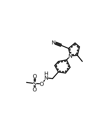 Cc1ccc(C#N)n1-c1ccc(CNOS(C)(=O)=O)cc1